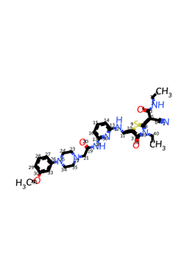 CCNC(=O)C(C#N)=c1sc(=CNc2cccc(NC(=O)CN3CCN(c4cccc(OC)c4)CC3)n2)c(=O)n1CC